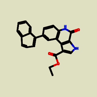 CCOC(=O)c1c[nH]c2c(=O)[nH]c3ccc(-c4cccc5ccccc45)cc3c12